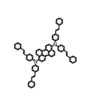 C(=Cc1ccc(N(c2ccc(C=Cc3ccccc3)cc2)c2ccc3c4cccc5c(N(c6ccc(C=Cc7ccccc7)cc6)c6ccc(C=Cc7ccccc7)cc6)ccc(c6cccc2c63)c54)cc1)c1ccccc1